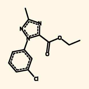 CCOC(=O)c1nc(C)nn1-c1cccc(Cl)c1